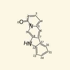 O=c1cccc2cc3c(cn12)[nH]c1ccccc13